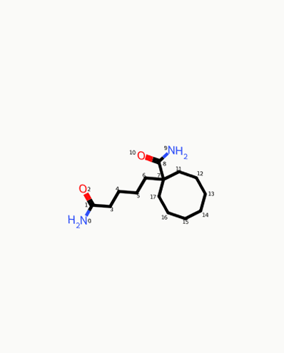 NC(=O)CCCCC1(C(N)=O)CCCCCCC1